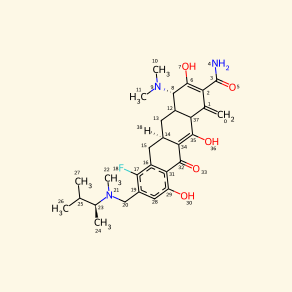 C=C1C(C(N)=O)=C(O)[C@@H](N(C)C)C2C[C@@H]3Cc4c(F)c(CN(C)[C@@H](C)C(C)C)cc(O)c4C(=O)C3=C(O)C12